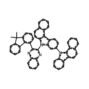 CC1(C)c2ccccc2-c2c(-c3nc4ccccc4nc3-n3c4cc(-n5c6ccccc6c6ccc7ccccc7c65)ccc4c4c5ccccc5ccc43)cccc21